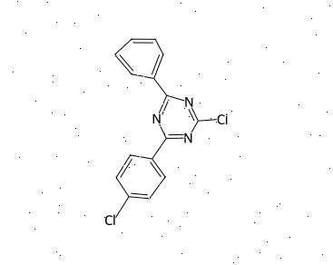 Clc1ccc(-c2nc(Cl)nc(-c3ccccc3)n2)cc1